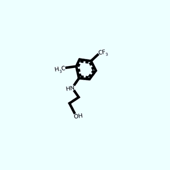 Cc1cc(C(F)(F)F)ccc1NCCO